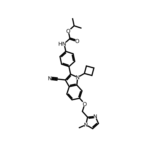 CC(C)OC(=O)Nc1ccc(-c2c(C#N)c3ccc(OCc4nccn4C)cc3n2C2CCC2)cc1